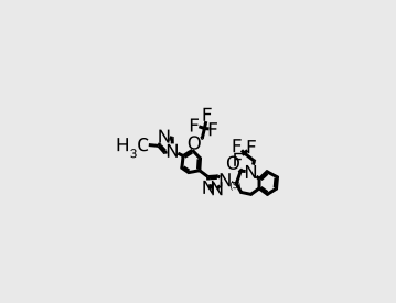 Cc1cn(-c2ccc(-c3cn([C@H]4CCc5ccccc5N(CC(F)(F)F)C4=O)nn3)cc2OCC(F)(F)F)cn1